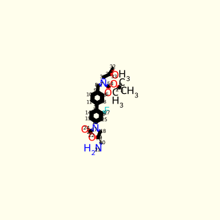 CC(C)(C)OC(=O)N(Cc1ccc(-c2ccc(N3C[C@H](CN)OC3=O)cc2F)cc1)CC1CO1